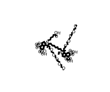 CC[N+]1=C(/C=C/C=C/C=C/C=C2/N(CCCCCC(=O)O)c3ccc4c(S(=O)(=O)[O-])cc(S(=O)(=O)O)cc4c3C2(C)CCOCCOCCOCCOCCOC)C(C)(CCOCCOCCOCCOCCOC)c2c1ccc1c(S(=O)(=O)O)cc(S(=O)(=O)O)cc21